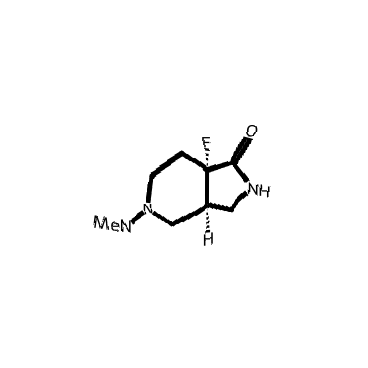 CNN1CC[C@@]2(F)C(=O)NC[C@H]2C1